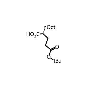 CCCCCCCC[C@H](CCC(=O)OC(C)(C)C)C(=O)O